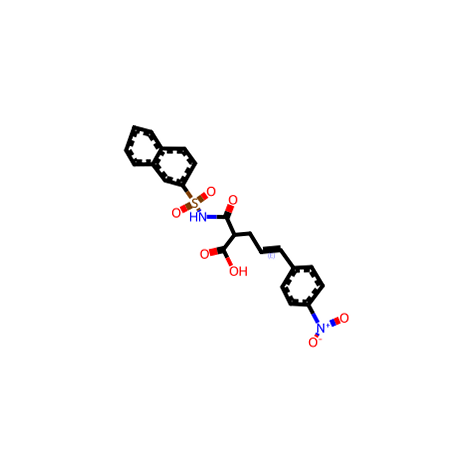 O=C(O)C(C/C=C/c1ccc([N+](=O)[O-])cc1)C(=O)NS(=O)(=O)c1ccc2ccccc2c1